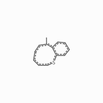 Cc1cccccsc2ccccc12